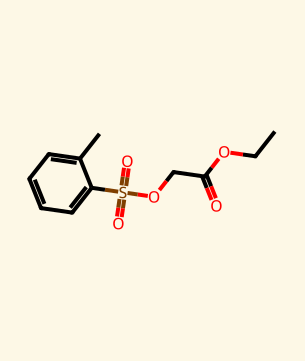 CCOC(=O)COS(=O)(=O)c1ccccc1C